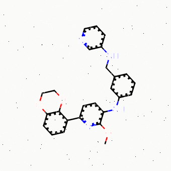 COc1nc(-c2cccc3c2OCCO3)ccc1Nc1cccc(CNc2cccnc2)c1